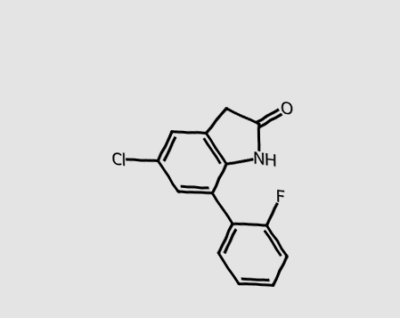 O=C1Cc2cc(Cl)cc(-c3ccccc3F)c2N1